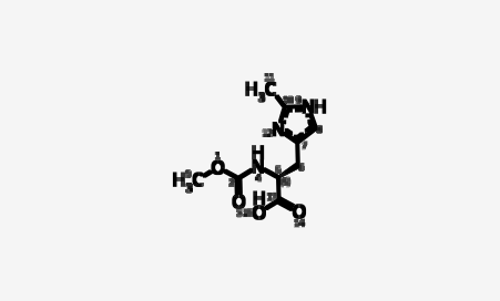 COC(=O)N[C@@H](Cc1c[nH]c(C)n1)C(=O)O